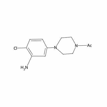 CC(=O)N1CCN(c2ccc(Cl)c(N)c2)CC1